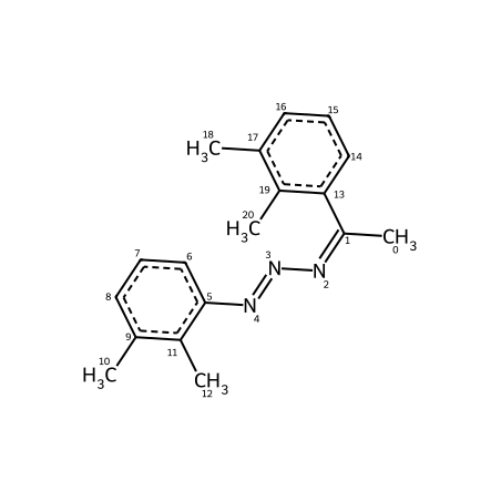 CC(=NN=Nc1cccc(C)c1C)c1cccc(C)c1C